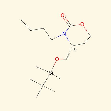 CCCCN1C(=O)OCC[C@@H]1CO[Si](C)(C)C(C)(C)C